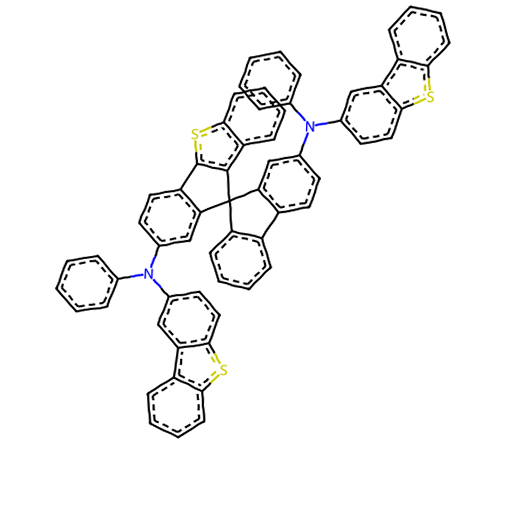 c1ccc(N(c2ccc3c(c2)C2(c4ccccc4-3)c3cc(N(c4ccccc4)c4ccc5sc6ccccc6c5c4)ccc3-c3sc4ccccc4c32)c2ccc3sc4ccccc4c3c2)cc1